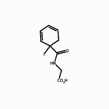 O=C(O)CNC(=O)C1(I)C=CC=CC1